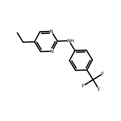 CCc1cnc(Nc2ccc(C(F)(F)F)cc2)nc1